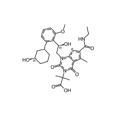 CCNC(=O)c1sc2c(c1C)c(=O)n(C(C)(C)C(=O)O)c(=O)n2C[C@H](O)c1c(OC)cccc1C1CCC[C@@H](O)C1